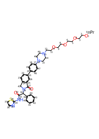 CCCOCCOCCOCCOCCN1CCN(c2ccc(-c3ccc4c(c3)C(=O)N(C(C(=O)Nc3nccs3)c3ccccc3)C4)cc2)CC1